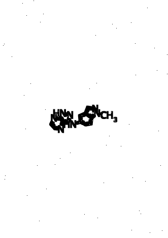 Cn1ncc2cc(Nc3n[nH]c4nccnc34)ccc21